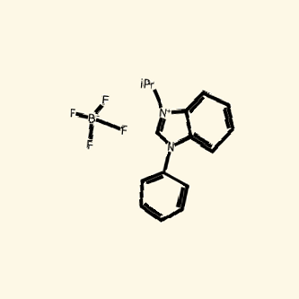 CC(C)[n+]1cn(-c2ccccc2)c2ccccc21.F[B-](F)(F)F